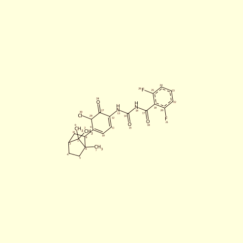 CC1(C)C2CCC1(C)C(C1=CC=C(NC(=O)NC(=O)c3c(F)cccc3F)C(=O)C1Cl)C2